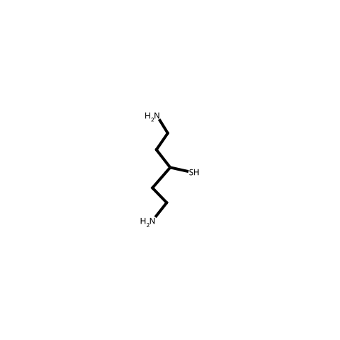 NCCC(S)CCN